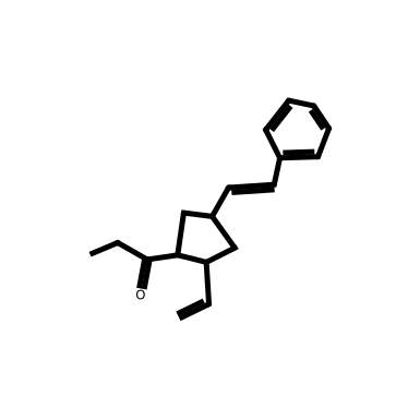 C=CC1CC(/C=C/c2ccccc2)CC1C(=O)CC